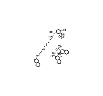 CS(=O)(=O)Nc1cc(C(O)CNCCCCCCOCCCCOc2ccc3ccccc3c2)ccc1O.O=C(O)c1cc2ccccc2c(Cc2c(O)c(C(=O)O)cc3ccccc23)c1O